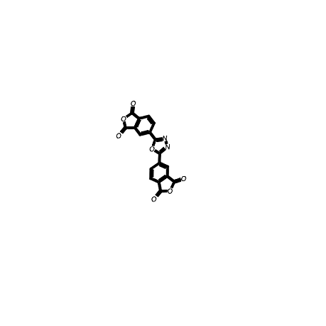 O=C1OC(=O)c2cc(-c3nnc(-c4ccc5c(c4)C(=O)OC5=O)o3)ccc21